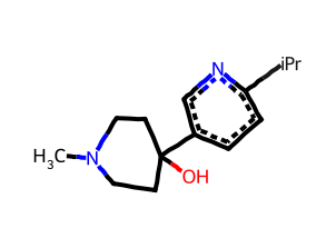 CC(C)c1ccc(C2(O)CCN(C)CC2)cn1